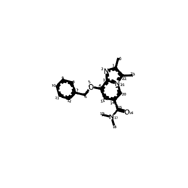 Cc1nc2c(OCc3ccccc3)cc(C(=O)N(C)C)cn2c1C